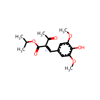 COc1cc(/C=C(\C(C)=O)C(=O)OC(C)C)cc(OC)c1O